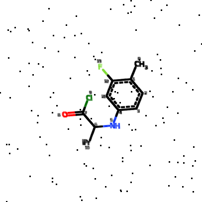 Cc1ccc(NC(C(=O)Cl)C(C)C)cc1F